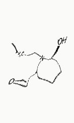 CN1C(C=O)CC[C@@H]1O